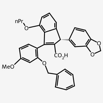 CCCOc1cccc2c1C(c1ccc(OC)cc1OCc1ccccc1)=C(C(=O)O)[C@H]2c1ccc2c(c1)OCO2